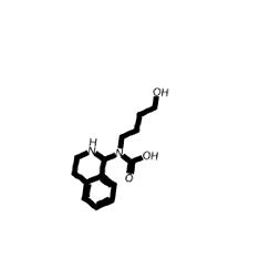 O=C(O)N(CCCCO)C1NCCc2ccccc21